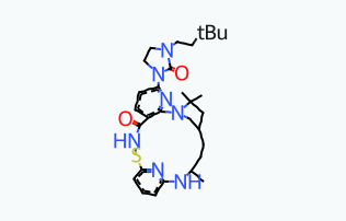 CC1CCC2CN(c3nc(N4CCN(CCC(C)(C)C)C4=O)ccc3C(=O)NSc3cccc(n3)N1)C(C)(C)C2